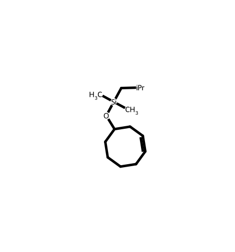 CC(C)C[Si](C)(C)OC1C/C=C\CCCC1